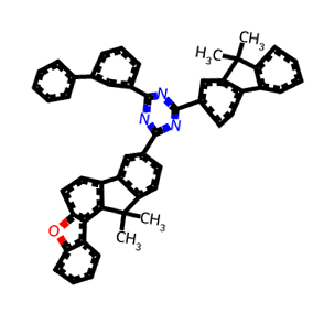 CC1(C)c2ccccc2-c2ccc(-c3nc(-c4cccc(-c5ccccc5)c4)nc(-c4ccc5c(c4)-c4ccc6oc7ccccc7c6c4C5(C)C)n3)cc21